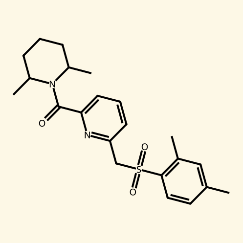 Cc1ccc(S(=O)(=O)Cc2cccc(C(=O)N3C(C)CCCC3C)n2)c(C)c1